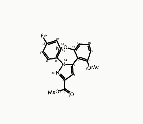 COC(=O)c1cc(-c2c(OC)cccc2OC)n(-c2ccc(F)cc2)n1